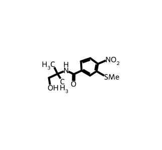 CSc1cc(C(=O)NC(C)(C)CO)ccc1[N+](=O)[O-]